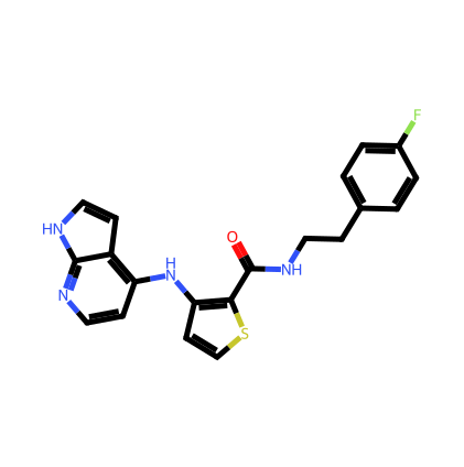 O=C(NCCc1ccc(F)cc1)c1sccc1Nc1ccnc2[nH]ccc12